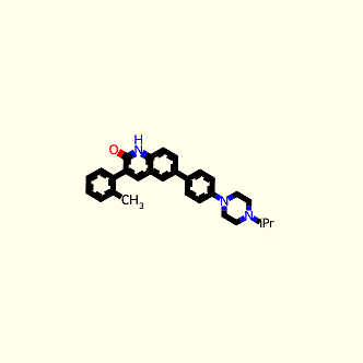 Cc1ccccc1-c1cc2cc(-c3ccc(N4CCN(C(C)C)CC4)cc3)ccc2[nH]c1=O